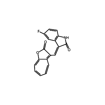 O=C1Nc2ccc(F)cc2C1=Cc1c2cccccc-2oc1=O